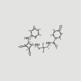 CC(C)(CNC(=O)c1ccc(Cl)cc1)CNc1c(Nc2cccnc2)c(=O)c1=O